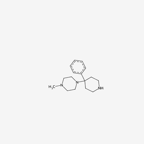 CN1CCN(C2(c3ccccc3)CCNCC2)CC1